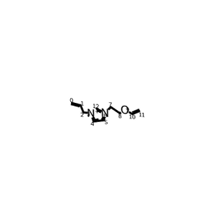 C=CC[n+]1ccn(CCOC=C)c1